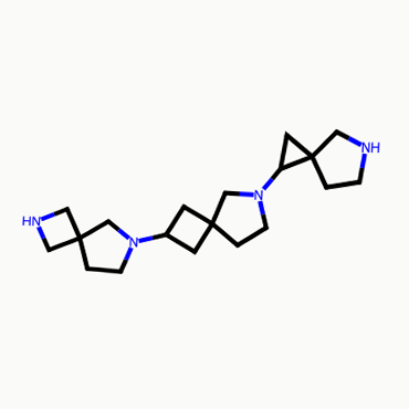 C1CC2(CN1)CC2N1CCC2(CC(N3CCC4(CNC4)C3)C2)C1